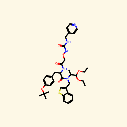 CCOC(OCC)C(C)N(Cc1csc2ccccc12)C(=O)C(Cc1ccc(OC(C)(C)C)cc1)NC(=O)CONC(=O)NCc1ccncc1